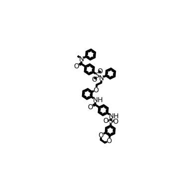 CN(C(=O)c1ccc(S(=O)(=O)N(CCOc2ccccc2NC(=O)c2ccc(NS(=O)(=O)c3ccc4c(c3)OCCO4)cc2)c2ccccc2)cc1)c1ccccc1